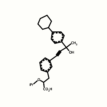 CC(C)OC(Cc1cccc(C#CC(C)(O)c2ccc(C3CCCCC3)cc2)c1)C(=O)O